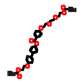 CCC(C)C(=O)OCCOCCOCCOc1ccc(C(=O)Oc2ccc(-c3ccc(OCCOC(=O)C(C)CC)cc3)cc2)cc1